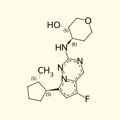 C[C@H]1CCC[C@@H]1c1cc(F)c2cnc(N[C@@H]3CCOC[C@H]3O)nn12